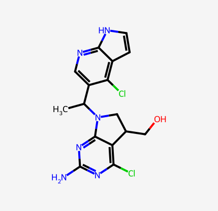 CC(c1cnc2[nH]ccc2c1Cl)N1CC(CO)c2c(Cl)nc(N)nc21